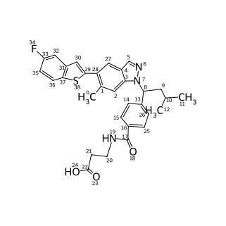 Cc1cc2c(cnn2C(CC(C)C)c2ccc(C(=O)NCCC(=O)O)cc2)cc1-c1cc2cc(F)ccc2s1